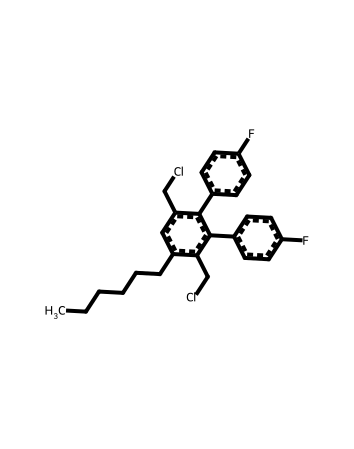 CCCCCCc1cc(CCl)c(-c2ccc(F)cc2)c(-c2ccc(F)cc2)c1CCl